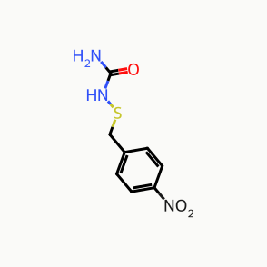 NC(=O)NSCc1ccc([N+](=O)[O-])cc1